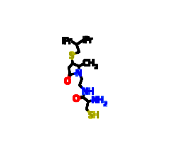 CC(C)C(CSC1CC(=O)N(CCNC(=O)C(N)CS)C1C)C(C)C